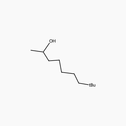 CC(O)CCCCCC(C)(C)C